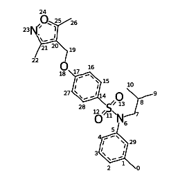 Cc1cccc(N(CC(C)C)S(=O)(=O)c2ccc(OCc3c(C)noc3C)cc2)c1